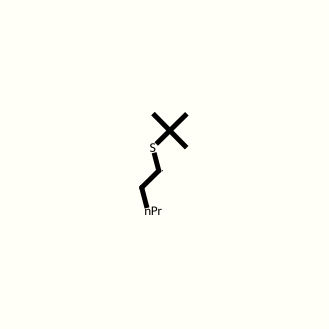 CCCC[CH]SC(C)(C)C